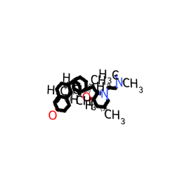 C[C@H]1C[C@H]2O[C@]3(CCC45CC3(C)C4C[C@H]3[C@H]5CCC4=CC(=O)CC[C@@]43C)[C@H](C)[C@@H]2N(CCN(C)C)C1